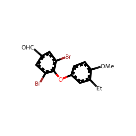 CCc1cc(Oc2c(Br)cc(C=O)cc2Br)ccc1OC